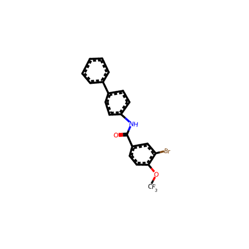 O=C(Nc1ccc(-c2ccccc2)cc1)c1ccc(OC(F)(F)F)c(Br)c1